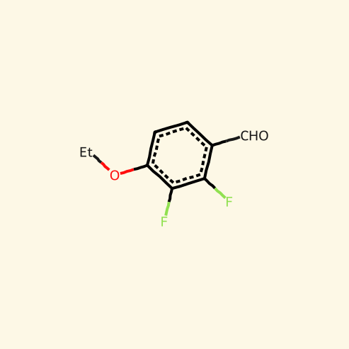 [CH2]COc1ccc(C=O)c(F)c1F